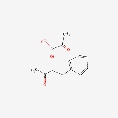 CC(=O)C(O)O.CC(=O)CCc1ccccc1